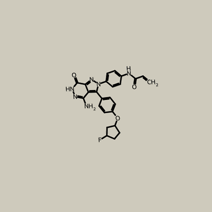 C=CC(=O)Nc1ccc(-n2nc3c(=O)[nH]nc(N)c3c2-c2ccc(OC3CCC(F)C3)cc2)cc1